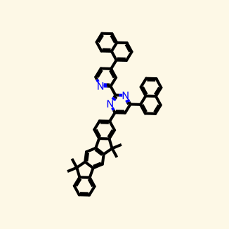 CC1(C)c2ccccc2-c2cc3c(cc21)-c1ccc(-c2cc(-c4cccc5ccccc45)nc(-c4cc(-c5cccc6ccccc56)ccn4)n2)cc1C3(C)C